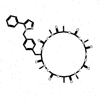 CC1OC(=O)CN(C)C(=O)C(Cc2ccc(Cn3nccc3-c3ccccc3)cc2)OC(=O)CN(C)C(=O)C(C)OC(=O)CN(C)C(=O)COC(=O)CN(C)C1=O